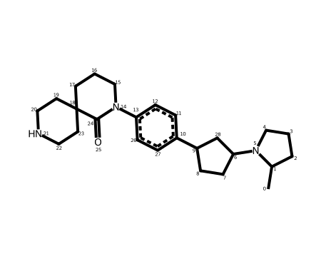 CC1CCCN1C1CCC(c2ccc(N3CCCC4(CCNCC4)C3=O)cc2)C1